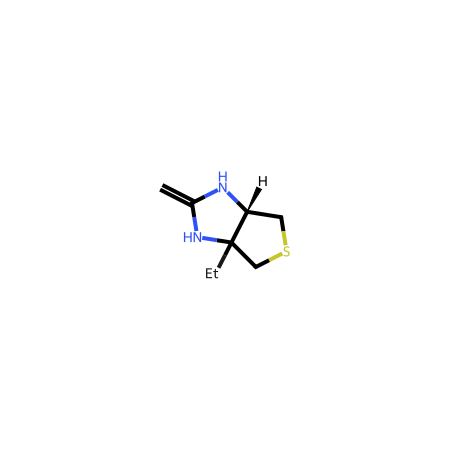 C=C1N[C@@H]2CSCC2(CC)N1